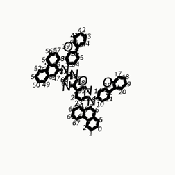 c1ccc2c(c1)cc(N(c1ccc3c(c1)oc1ccccc13)c1ccc3c(n1)oc1nc(N(c4ccc5c(c4)oc4ccccc45)c4cc5ccccc5c5ccccc45)cnc13)c1ccccc12